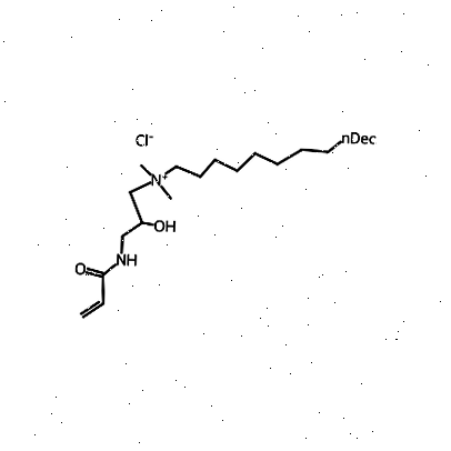 C=CC(=O)NCC(O)C[N+](C)(C)CCCCCCCCCCCCCCCCCC.[Cl-]